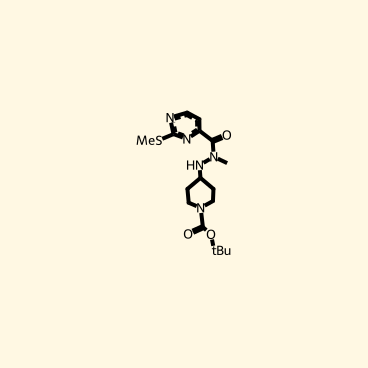 CSc1nccc(C(=O)N(C)NC2CCN(C(=O)OC(C)(C)C)CC2)n1